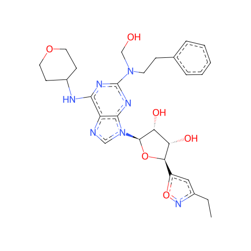 CCc1cc([C@H]2O[C@@H](n3cnc4c(NC5CCOCC5)nc(N(CO)CCc5ccccc5)nc43)[C@H](O)[C@@H]2O)on1